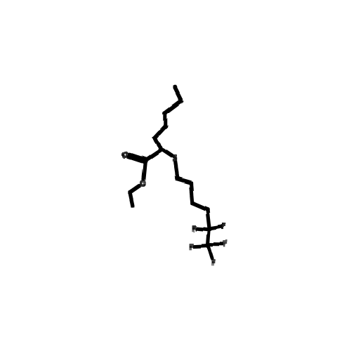 CCCCCC(SCCCCC(F)(F)C(F)(F)F)C(=O)OCC